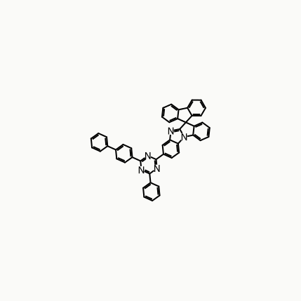 c1ccc(-c2ccc(-c3nc(-c4ccccc4)nc(-c4ccc5c(c4)nc4n5-c5ccccc5C45c4ccccc4-c4ccccc45)n3)cc2)cc1